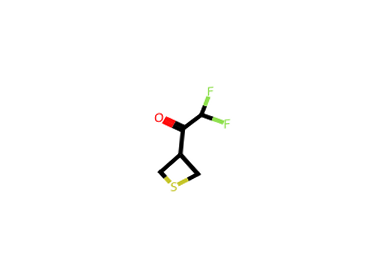 O=C(C(F)F)C1CSC1